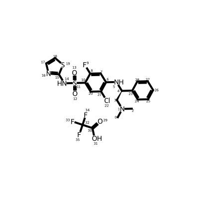 CN(C)C[C@@H](Nc1cc(F)c(S(=O)(=O)Nc2nccs2)cc1Cl)c1ccccc1.O=C(O)C(F)(F)F